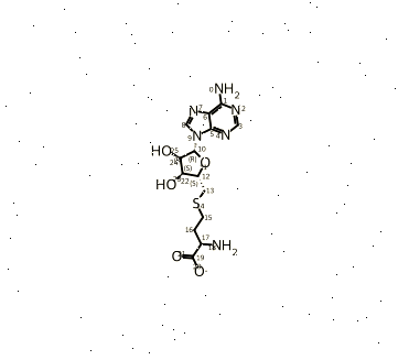 Nc1ncnc2c1ncn2[C@@H]1O[C@H](CSCCC(N)C([O])=O)[C@@H](O)[C@H]1O